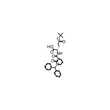 CC(C)(C)OC(=O)CC[C@H](NC(=O)c1cccn(C(c2ccccc2)c2ccccc2)c1=O)C(=O)O